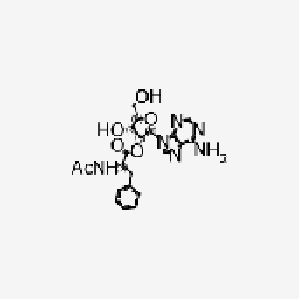 CC(=O)N[C@@H](Cc1ccccc1)C(=O)O[C@@H]1[C@H](O)[C@@H](CO)O[C@H]1n1cnc2c(N)ncnc21